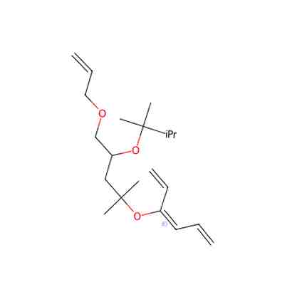 C=C/C=C(\C=C)OC(C)(C)CC(COCC=C)OC(C)(C)C(C)C